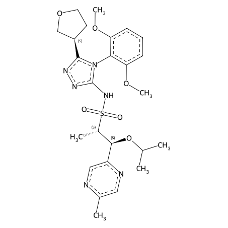 COc1cccc(OC)c1-n1c(NS(=O)(=O)[C@@H](C)[C@@H](OC(C)C)c2cnc(C)cn2)nnc1[C@@H]1CCOC1